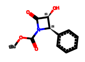 CC(C)(C)OC(=O)N1C(=O)[C@H](O)[C@@H]1c1ccccc1